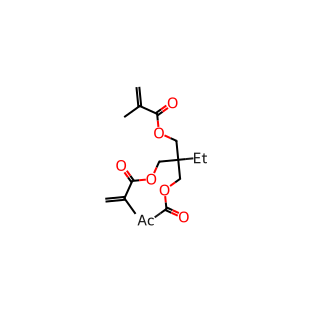 C=C(C)C(=O)OCC(CC)(COC(=O)C(=C)C)COC(=O)C(C)=O